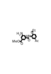 CCOc1ccc(C(C)=O)cc1NC(=O)c1cc(N)cc(C(=O)OC)c1